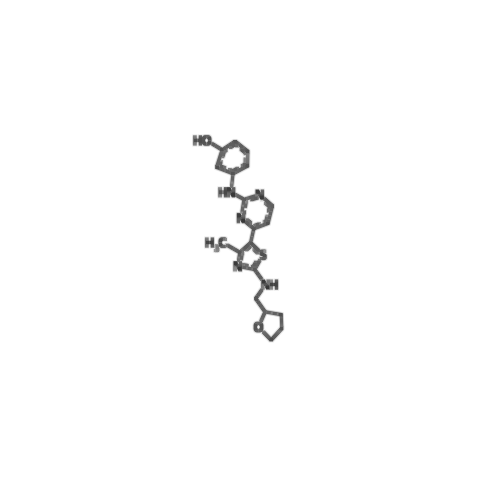 Cc1nc(NCC2CCCO2)sc1-c1ccnc(Nc2cccc(O)c2)n1